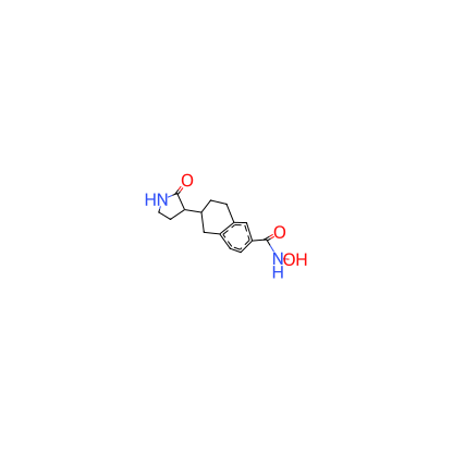 O=C(NO)c1ccc2c(c1)CCC(C1CCNC1=O)C2